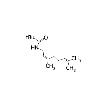 CC(C)=CCC/C(C)=C\CNC(=O)C(C)(C)C